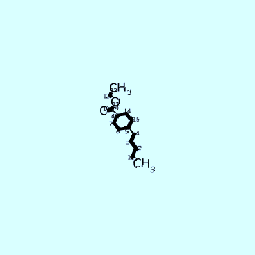 CCCCC[C@H]1CC[C@H](C(=O)OCC)CC1